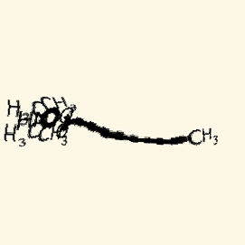 CC#CC#CC#CC#CC#CC#CC#CC#CC(=O)OC1CC(C)(C)NC(C)(C)C1